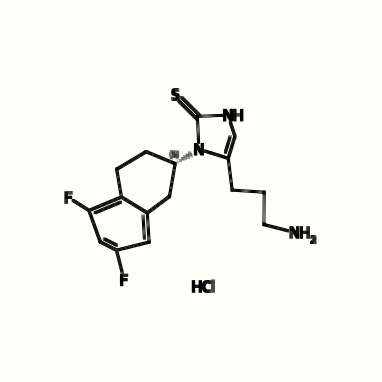 Cl.NCCCc1c[nH]c(=S)n1[C@H]1CCc2c(F)cc(F)cc2C1